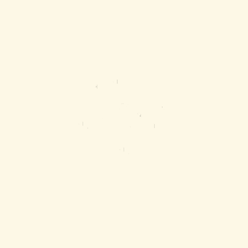 C=C[Si](O)(C=C)O[Si](C)(C=C)O[Si](C)(C)OC